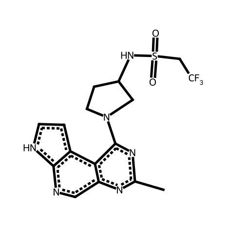 Cc1nc(N2CCC(NS(=O)(=O)CC(F)(F)F)C2)c2c(cnc3[nH]ccc32)n1